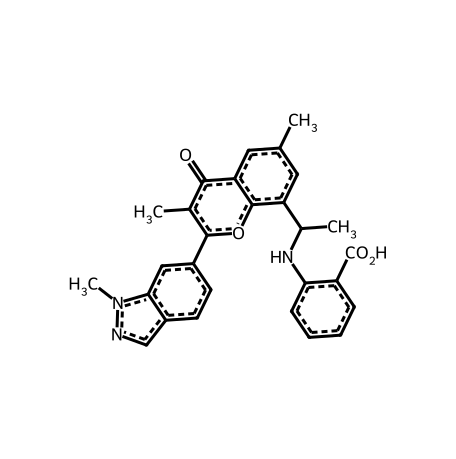 Cc1cc(C(C)Nc2ccccc2C(=O)O)c2oc(-c3ccc4cnn(C)c4c3)c(C)c(=O)c2c1